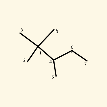 [CH2]C(C)(C)C(C)[CH]C